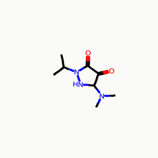 CC(C)N1NC(N(C)C)C(=O)C1=O